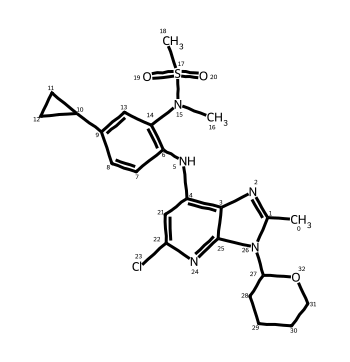 Cc1nc2c(Nc3ccc(C4CC4)cc3N(C)S(C)(=O)=O)cc(Cl)nc2n1C1CCCCO1